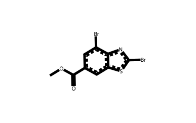 COC(=O)c1cc(Br)c2nc(Br)sc2c1